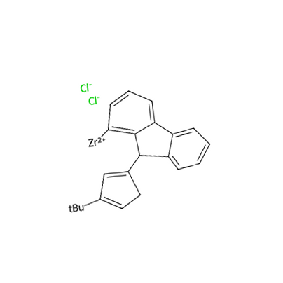 CC(C)(C)C1=CCC(C2c3ccccc3-c3ccc[c]([Zr+2])c32)=C1.[Cl-].[Cl-]